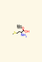 CSCCC(N)C(=O)O.[Mn].[Mn]